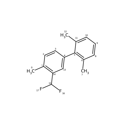 Cc1ccc(-c2c(C)cccc2C)cc1C(F)F